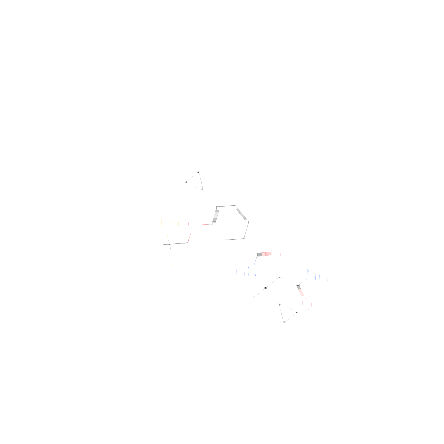 CC(CC(N)=O)(NC(=O)C1C=CC(C2CC2)=C(OCC(F)(F)P)C1)C1CC1